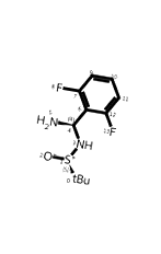 CC(C)(C)[S@@+]([O-])N[C@@H](N)c1c(F)cccc1F